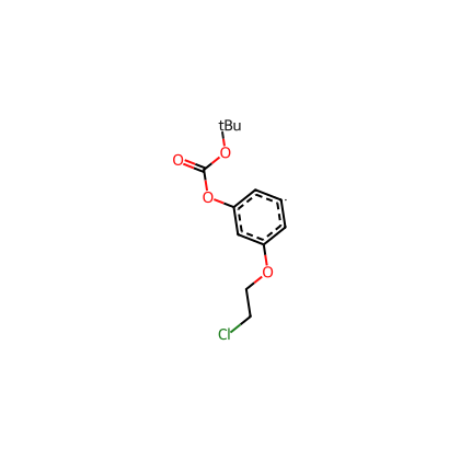 CC(C)(C)OC(=O)Oc1c[c]cc(OCCCl)c1